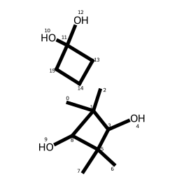 CC1(C)C(O)C(C)(C)C1O.OC1(O)CCC1